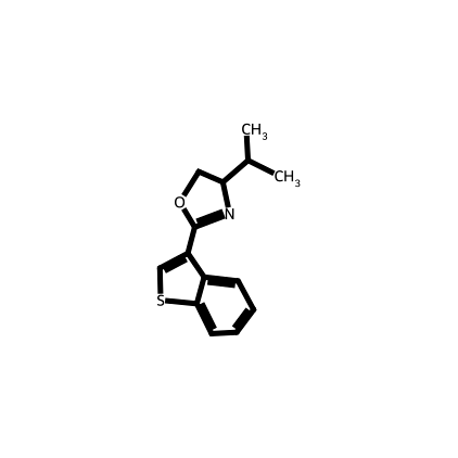 CC(C)C1COC(c2csc3ccccc23)=N1